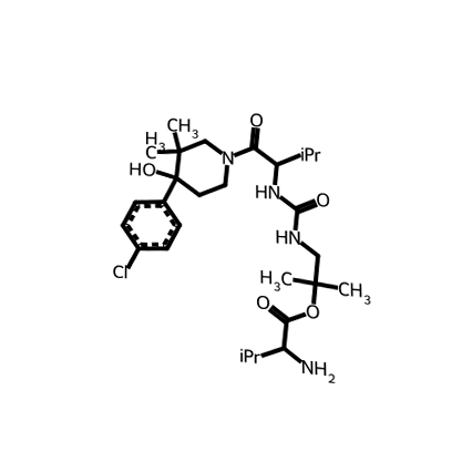 CC(C)C(N)C(=O)OC(C)(C)CNC(=O)NC(C(=O)N1CCC(O)(c2ccc(Cl)cc2)C(C)(C)C1)C(C)C